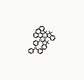 CC1(C)C2=C(c3ccccc31)N(c1cccc(N(c3ccccc3)c3ccccc3)c1)c1c3c(c4c5c(cccc15)C=CC4)C(C)(c1ccccc1)C1=C(B23)c2ccccc2C1(C)C